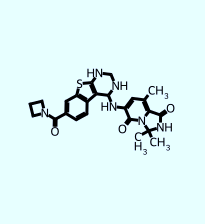 Cc1cc(NC2NCNc3sc4cc(C(=O)N5CCC5)ccc4c32)c(=O)n2c1C(=O)NC2(C)C